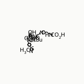 Cc1ncsc1-c1ccc(CNC(=O)[C@@H]2C[C@@H](O)CN2C(=O)[C@@H](NC(=O)CCCN2CCC(CCCNC(=O)O)CC2)C(C)(C)C)cc1